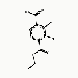 CCOC(=O)c1ccc(C(=O)O)c(C)c1C